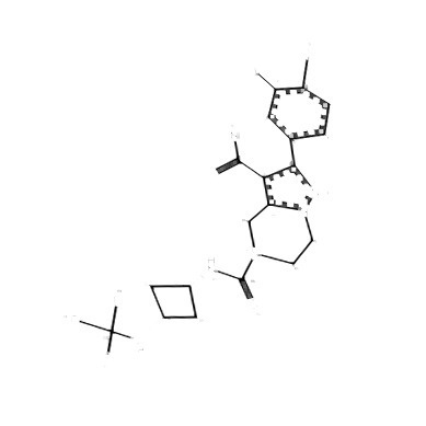 NC(=O)c1c(-c2ccc(Cl)c(Cl)c2)nn2c1CN(C(=O)N[C@H]1C[C@@H](OC(F)(F)F)C1)CC2